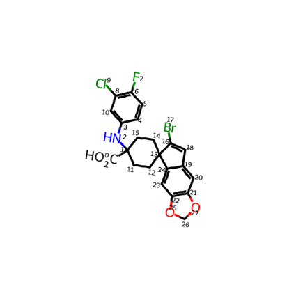 O=C(O)C1(Nc2ccc(F)c(Cl)c2)CCC2(CC1)C(Br)=Cc1cc3c(cc12)OCO3